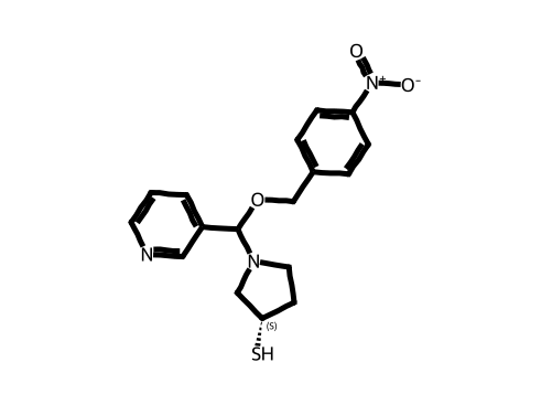 O=[N+]([O-])c1ccc(COC(c2cccnc2)N2CC[C@H](S)C2)cc1